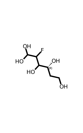 OCC[C@@H](O)C(O)C(F)C(O)O